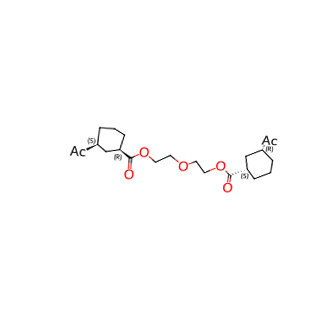 CC(=O)[C@@H]1CCC[C@H](C(=O)OCCOCCOC(=O)[C@@H]2CCC[C@H](C(C)=O)C2)C1